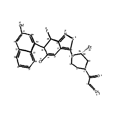 C=CC(=O)N1CCN(c2snc3c2C=C(Cl)C(c2cc(O)cc4ccccc24)C3F)[C@H](CC)C1